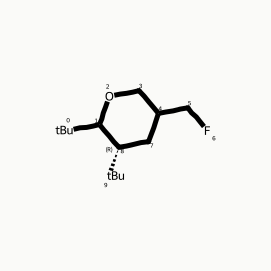 CC(C)(C)C1OCC(CF)C[C@@H]1C(C)(C)C